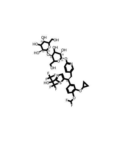 OCC1O[C@@H](O[C@@H]2C(CO)O[C@@H](Oc3ccc(C[C@@H](c4ccc(OC(F)F)c(OC5CC5)c4)c4cnc(C(O)(C(F)(F)F)C(F)(F)F)s4)cn3)[C@@H](O)C2O)[C@@H](O)C(O)[C@@H]1O